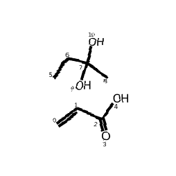 C=CC(=O)O.CCC(C)(O)O